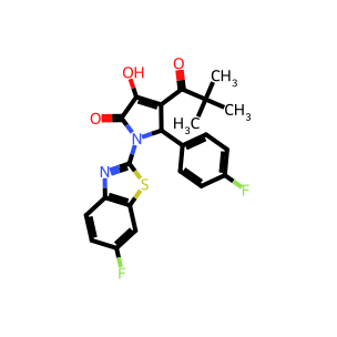 CC(C)(C)C(=O)C1=C(O)C(=O)N(c2nc3ccc(F)cc3s2)C1c1ccc(F)cc1